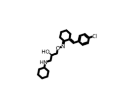 O[C@H](CNC1CCCCC1)CO/N=C1\CCCC\C1=C/c1ccc(Cl)cc1